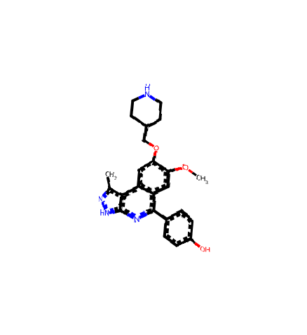 COc1cc2c(-c3ccc(O)cc3)nc3[nH]nc(C)c3c2cc1OCC1CCNCC1